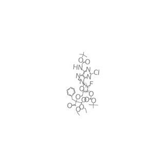 CCOC(=O)C(Cc1ccccc1)(OC[C@H]1O[C@@H](n2cnc3c(NC(=O)OC(C)(C)C)nc(Cl)nc32)[C@@H](F)[C@@H]1OC(=O)OC(C)(C)C)C(=O)OCC